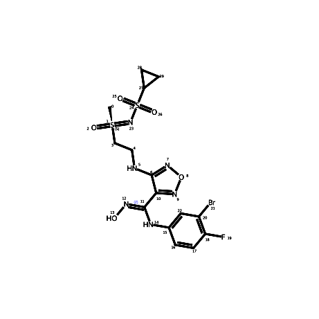 C[S@](=O)(CCNc1nonc1/C(=N/O)Nc1ccc(F)c(Br)c1)=NS(=O)(=O)C1CC1